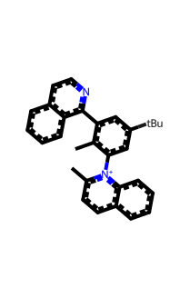 Cc1c(-c2nccc3ccccc23)cc(C(C)(C)C)cc1-[n+]1c(C)ccc2ccccc21